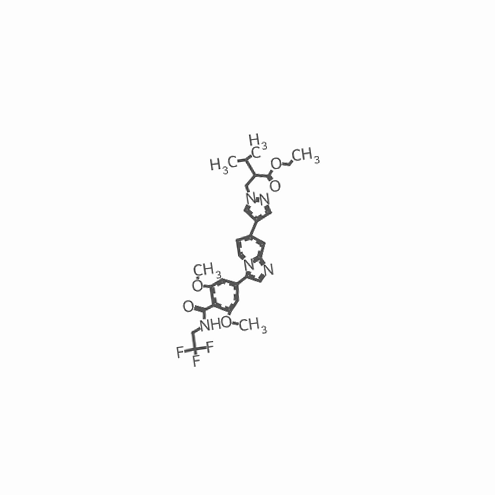 CCOC(=O)C(Cn1cc(-c2ccn3c(-c4cc(OC)c(C(=O)NCC(F)(F)F)c(OC)c4)cnc3c2)cn1)C(C)C